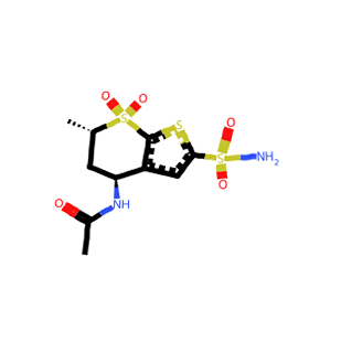 CC(=O)N[C@H]1C[C@H](C)S(=O)(=O)c2sc(S(N)(=O)=O)cc21